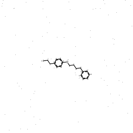 ICCc1ccc(OCCCCc2ccccc2)cc1